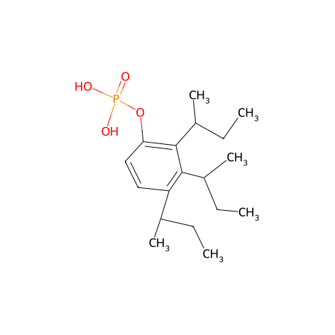 CCC(C)c1ccc(OP(=O)(O)O)c(C(C)CC)c1C(C)CC